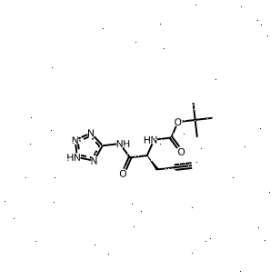 C#CC[C@H](NC(=O)OC(C)(C)C)C(=O)Nc1nn[nH]n1